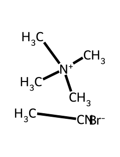 CC#N.C[N+](C)(C)C.[Br-]